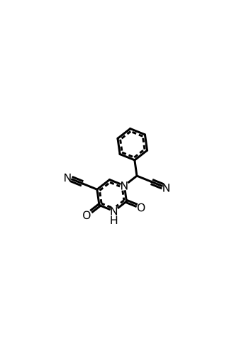 N#Cc1cn(C(C#N)c2ccccc2)c(=O)[nH]c1=O